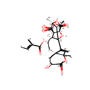 C=C1[C@]2(C[C@H](OC(=O)/C(C)=C/C)[C@@]3(C)[C@@]45C(=O)O[C@@H](C)[C@@]46O[C@@]13[C@@H](OC(C)=O)[C@](C)(OC6=O)C5=O)C[C@H](O)C(=O)OC2(C)C